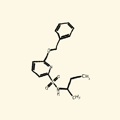 CCC(C)NS(=O)(=O)c1cccc(OCc2ccccc2)n1